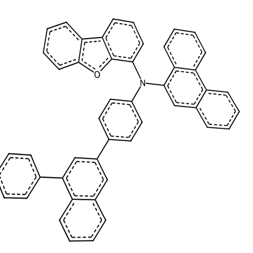 c1ccc(-c2cc(-c3ccc(N(c4cc5ccccc5c5ccccc45)c4cccc5c4oc4ccccc45)cc3)cc3ccccc23)cc1